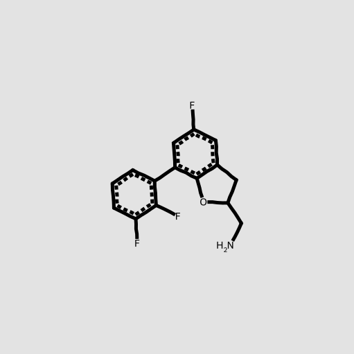 NCC1Cc2cc(F)cc(-c3cccc(F)c3F)c2O1